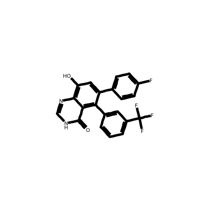 O=c1[nH]cnc2c(O)cc(-c3ccc(F)cc3)c(-c3cccc(C(F)(F)F)c3)c12